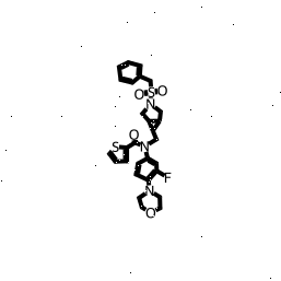 O=C(c1cccs1)N(CC1C2CN(S(=O)(=O)Cc3ccccc3)CC12)c1ccc(N2CCOCC2)c(F)c1